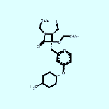 COCO[C@@]1(Cc2cc(O[C@H]3CC[C@H](C)CC3)ccn2)C(=O)N(COC)[C@H]1CI